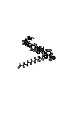 CCCCCCCCCCCCCCOc1c(OCC(=O)Nc2ccc(C[n+]3ccsc3)cc2)cccc1C(C)=O.[Br-]